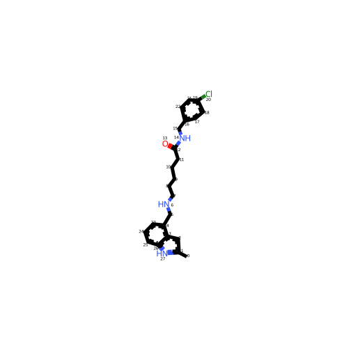 Cc1cc2c(CNCCCCCC(=O)NCc3ccc(Cl)cc3)cccc2[nH]1